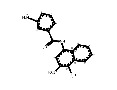 Nc1cccc(C(=O)Nc2cc(S(=O)(=O)O)c(O)c3ccccc23)c1